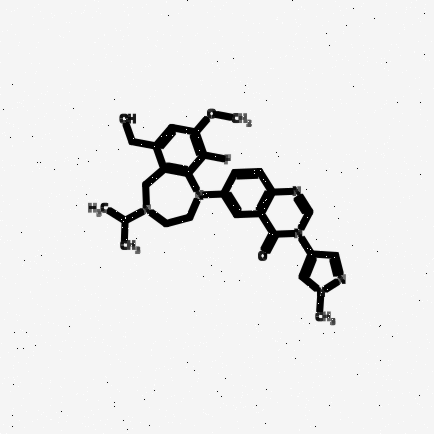 COc1cc(CO)c2c(c1F)N(c1ccc3ncn(-c4cnn(C)c4)c(=O)c3c1)CCN(C(C)C)C2